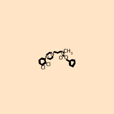 CN(CCCN1CCN(c2cccc(Cl)c2Cl)CC1)C(=O)OCc1ccccc1